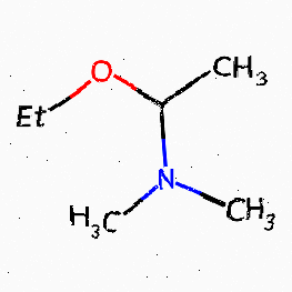 CCOC(C)N(C)C